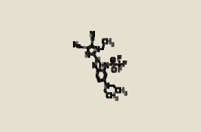 CCN(CC)c1ccc(N=Nc2nc(C#N)c(C#N)n2CC)c(NS(=O)(=O)C(F)(F)F)c1